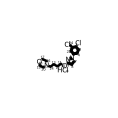 Cl.Clc1ccc(-n2ccc(OCCCCN3CCOCC3)n2)cc1Cl